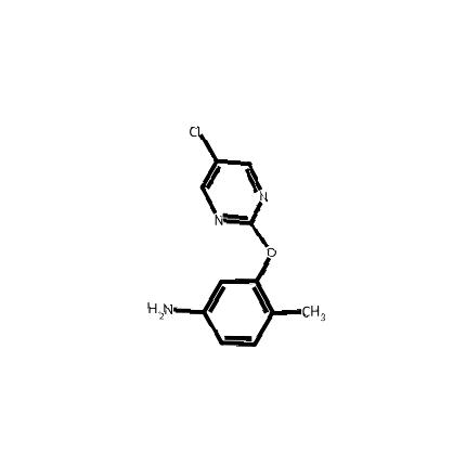 Cc1ccc(N)cc1Oc1ncc(Cl)cn1